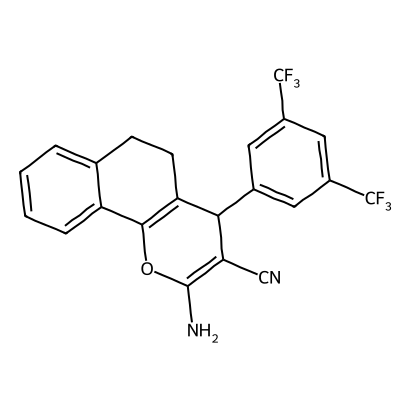 N#CC1=C(N)OC2=C(CCc3ccccc32)C1c1cc(C(F)(F)F)cc(C(F)(F)F)c1